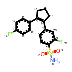 NS(=O)(=O)c1ccc(C2=C(c3ccc(F)cc3)CCC2)cc1F